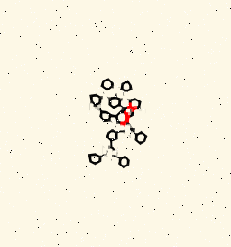 CC(C)(C)c1ccc2c(c1)c1cc(C(C)(C)C)ccc1n2-c1ccc(-c2nc(-c3ccccc3)nc(-c3ccccc3)n2)cc1-c1nc(-c2ccccc2)nc(-c2cccc(-c3ccc4c5c3N(c3ccccc3)c3ccccc3B5c3ccccc3N4c3ccccc3)c2)n1